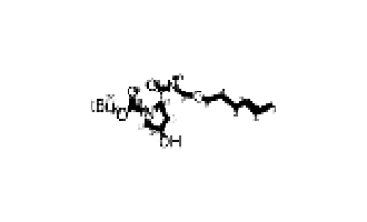 CC=CCCCCCN(C)C(=O)[C@@H]1C[C@@H](O)CN1C(=O)OC(C)(C)C